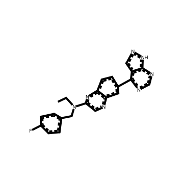 CCN(Cc1ccc(F)cc1)c1cnc2cc(-c3ncnc4[nH]ncc34)ccc2n1